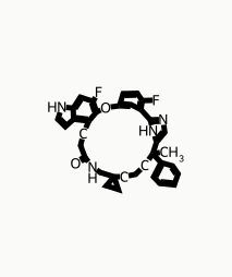 CC1(c2ccccc2)CCCC2(CC2)CNC(=O)CCc2c(c(F)cc3[nH]ccc23)Oc2ccc(F)c(c2)-c2ncc1[nH]2